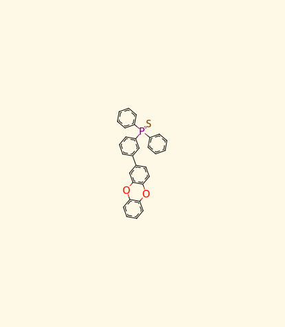 S=P(c1ccccc1)(c1ccccc1)c1cccc(-c2ccc3c(c2)Oc2ccccc2O3)c1